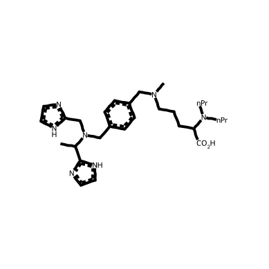 CCCN(CCC)C(CCCN(C)Cc1ccc(CN(Cc2ncc[nH]2)C(C)c2ncc[nH]2)cc1)C(=O)O